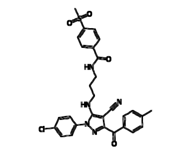 Cc1ccc(C(=O)c2nn(-c3ccc(Cl)cc3)c(NCCCNC(=O)c3ccc(S(C)(=O)=O)cc3)c2C#N)cc1